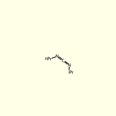 CCCN=C=NC(C)C